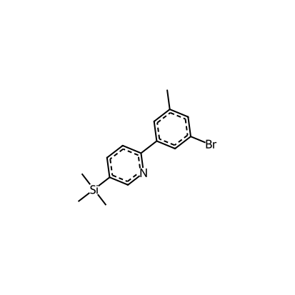 Cc1cc(Br)cc(-c2ccc([Si](C)(C)C)cn2)c1